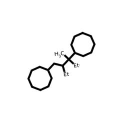 C[CH]C(C)(C1CCCCCCC1)C(CC)CC1CCCCCCC1